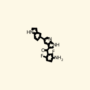 Nc1ccc(F)c(C(=O)c2c[nH]c3ncc(-c4ccc5[nH]ccc5c4)cc23)c1F